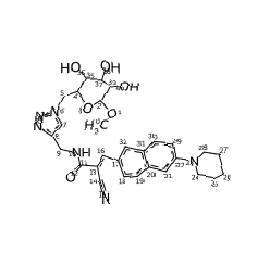 COC1OC(Cn2cc(CNC(=O)/C(C#N)=C/c3ccc4cc(N5CCCCC5)ccc4c3)nn2)C(O)C(O)C1O